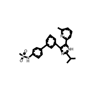 Cc1cccc(-c2[nH]c(C(C)C)nc2-c2cccc(-c3ccc(NS(C)(=O)=O)cc3)c2)n1